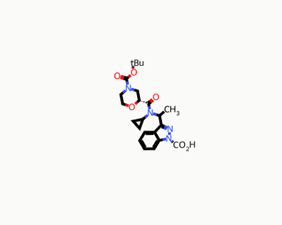 CC(c1nn(C(=O)O)c2ccccc12)N(C(=O)[C@H]1CN(C(=O)OC(C)(C)C)CCO1)C1CC1